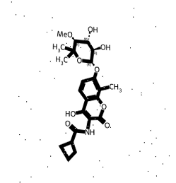 CO[C@@H]1[C@H](O)[C@@H](O)[C@H](Oc2ccc3c(O)c(NC(=O)C4CCC4)c(=O)oc3c2C)OC1(C)C